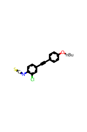 CCCCOc1ccc(C#Cc2ccc(N=C=S)c(Cl)c2)cc1